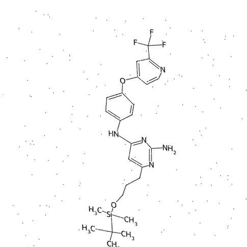 CC(C)(C)[Si](C)(C)OCCCc1cc(Nc2ccc(Oc3ccnc(C(F)(F)F)c3)cc2)nc(N)n1